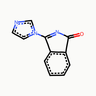 O=C1N=C(n2ccnc2)c2ccccc21